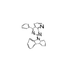 c1ccc(-c2nc(-n3c4ccccc4c4ccccc43)nc3ncccc23)cc1